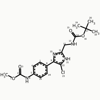 COC(=O)Nc1ccc(-c2nc(CNC(=O)OC(C)(C)C)[nH]c2Cl)cc1